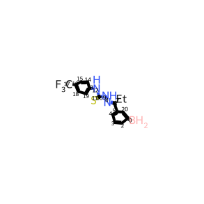 Bc1cccc(/C(CC)=N/NC(=S)Nc2ccc(C(F)(F)F)cc2)c1